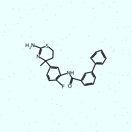 CC1(c2ccc(F)c(NC(=O)c3cccc(-c4ccccc4)c3)c2)CCSC(N)=N1